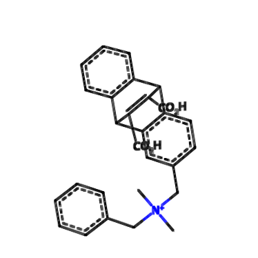 C[N+](C)(Cc1ccccc1)Cc1ccc2c(c1)C1C(C(=O)O)=C(C(=O)O)C2c2ccccc21